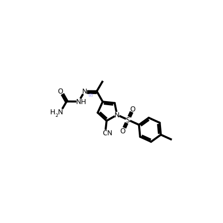 C/C(=N/NC(N)=O)c1cc(C#N)n(S(=O)(=O)c2ccc(C)cc2)c1